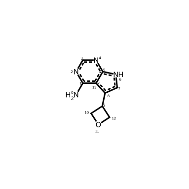 Nc1ncnc2[nH]cc(C3COC3)c12